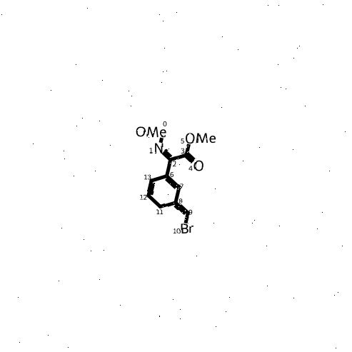 CON=C(C(=O)OC)C1=CC(=CBr)CC=C1